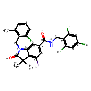 Cc1cccc(F)c1CN1C(=O)C(C)(C)c2c(I)cc(C(=O)NCc3c(F)cc(F)cc3F)cc21